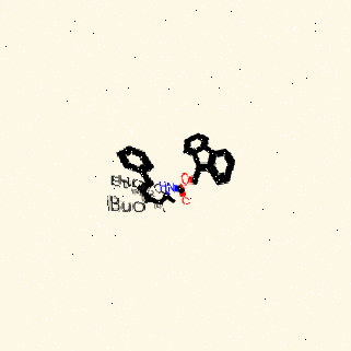 CC[C@H](Cc1ccccc1)[C@@H](OCC(C)C)[C@@H](C)[C@](C)(NC(=O)OCC1c2ccccc2-c2ccccc21)C(=O)O